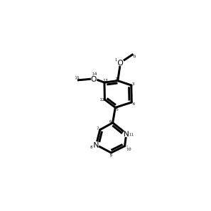 COc1ccc(-c2cnc[c]n2)cc1OC